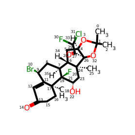 CC1(C)O[C@@H]2C[C@H]3[C@@H]4C[C@H](Br)C5=CC(=O)CC[C@]5(C)[C@@]4(F)[C@@H](O)C[C@]3(C)[C@]2(C(=O)C(F)Cl)O1